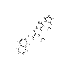 CCC(OC)(c1ccc(OCc2ccc3ccccc3n2)c(OC)c1)c1nccs1